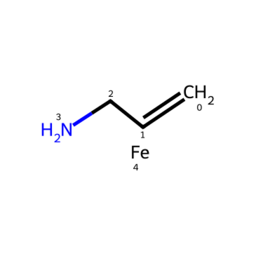 C=CCN.[Fe]